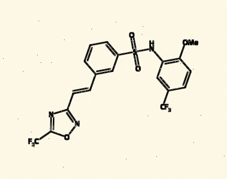 COc1ccc(C(F)(F)F)cc1NS(=O)(=O)c1cccc(C=Cc2noc(C(F)(F)F)n2)c1